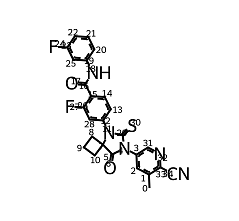 Cc1cc(N2C(=O)C3(CCC3)N(c3ccc(C(=O)Nc4cccc(F)c4)c(F)c3)C2=S)cnc1C#N